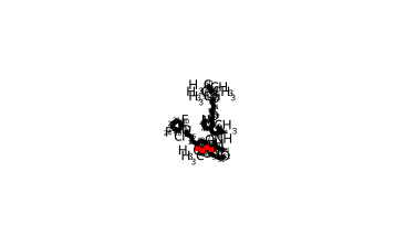 Cc1c(CC2(NC(=O)C3=C(c4ccc(CCCOc5c(F)ccc(F)c5Cl)cc4)CC4COC[C@H]3N4C(=O)OC(C)(C)C)CC2)ccnc1OCCCO[Si](C)(C)C(C)(C)C